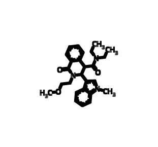 CCN(CC)C(=O)C1c2ccccc2C(=O)N(CCOC)C1c1cn(C)c2ccccc12